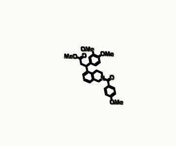 COC(=O)CC(c1ccc(OC)c(OC)c1)c1cccc2c1CCN(C(=O)c1ccc(OC)cc1)C2